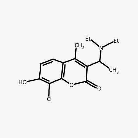 CCN(CC)C(C)c1c(C)c2ccc(O)c(Cl)c2oc1=O